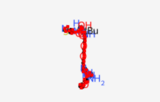 Cc1ncsc1-c1ccc(CNC(=O)[C@@H]2C[C@@H](O)CN2C(=O)[C@@H](NC(=O)CCCCCOCCCCCOCCCCCCN2CCC(n3nc(-c4ccc(Oc5ccccc5)cc4)c4c(N)ncnc43)CC2)C(C)(C)C)cc1